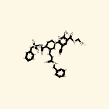 CCOC(=O)c1cc(C#N)c(N2CCC(C(=O)NS(=O)(=O)Cc3ccccc3)C(CCC(=O)OCc3ccccc3)C2)nc1C